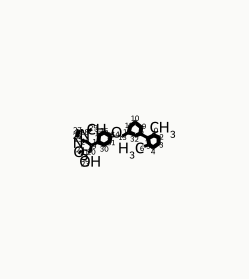 Cc1cccc(C)c1-c1cccc(COc2ccc(C(CS(=O)O)c3nccn3C)cc2)c1